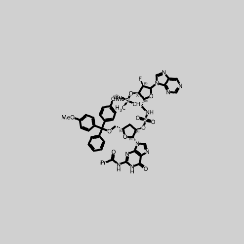 COc1ccc(C(OC[C@@H]2C[C@@H](OS(=O)(=O)NC[C@H]3OC(n4cnc5cncnc54)[C@H](F)[C@@H]3O[Si](C)(C)C(C)(C)C)[C@H](n3cnc4c(=O)[nH]c(NC(=O)C(C)C)nc43)O2)(c2ccccc2)c2ccc(OC)cc2)cc1